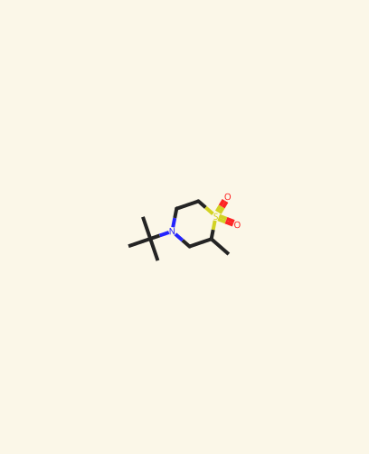 CC1CN(C(C)(C)C)CCS1(=O)=O